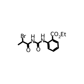 CCOC(=O)c1ccccc1NC(=O)NC(=O)C(C)Br